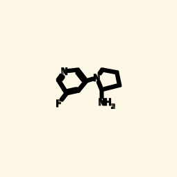 NC1CCCN1c1cncc(F)c1